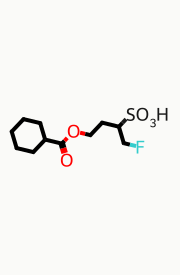 O=C(OCCC(CF)S(=O)(=O)O)C1CCCCC1